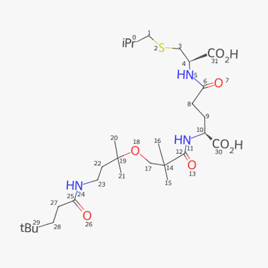 CC(C)CSC[C@H](NC(=O)CC[C@H](NC(=O)C(C)(C)COC(C)(C)CCNC(=O)CCC(C)(C)C)C(=O)O)C(=O)O